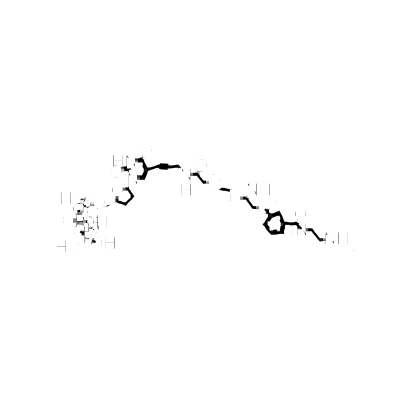 CP(=O)(O)OP(=O)(O)OP(=O)(O)OC[C@@H]1CC[C@H](n2cc(C#CCNC(=O)COCCOC(N)COc3cccc(C(=O)NCCN)c3)c(=O)[nH]c2=O)O1